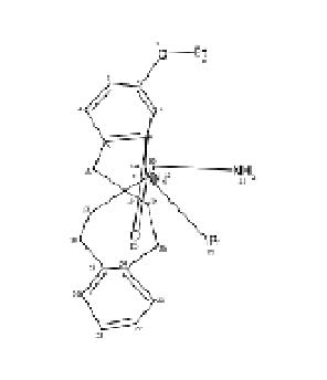 CCOc1ccc2c(c1)C1(N=C(N)N(C(C)C)C1=O)C1(CCc3ccccc3CC1)C2